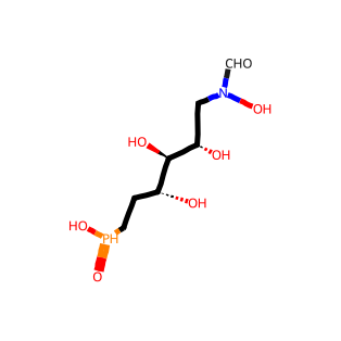 O=CN(O)C[C@H](O)[C@H](O)[C@H](O)CC[PH](=O)O